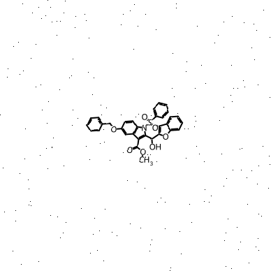 COC(=O)c1c(C(O)c2cc3ccccc3o2)n(S(=O)(=O)c2ccccc2)c2ccc(OCc3ccccc3)cc12